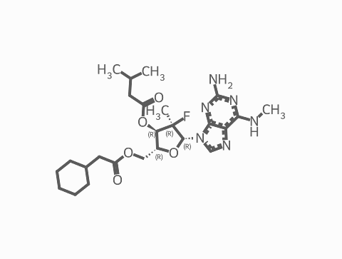 CNc1nc(N)nc2c1ncn2[C@@H]1O[C@H](COC(=O)CC2CCCCC2)[C@@H](OC(=O)CC(C)C)[C@@]1(C)F